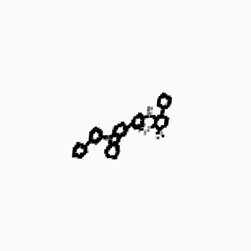 CC1C(Nc2ccc(-c3ccc4c(c3)c3c(n4-c4cccc(-c5ccccc5)c4)=CCCC=3)cc2)=C(c2ccccc2)C=CC1C#N